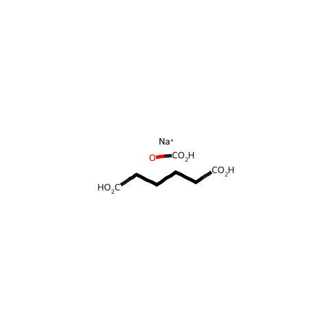 O=C(O)CCCCC(=O)O.O=C([O-])O.[Na+]